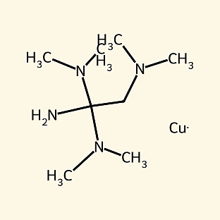 CN(C)CC(N)(N(C)C)N(C)C.[Cu]